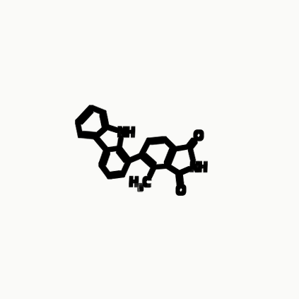 Cc1c(-c2cccc3c2[nH]c2ccccc23)ccc2c1C(=O)NC2=O